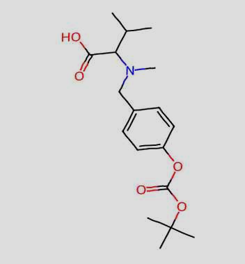 CC(C)C(C(=O)O)N(C)Cc1ccc(OC(=O)OC(C)(C)C)cc1